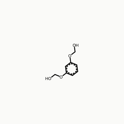 OCOc1cccc(OCO)c1